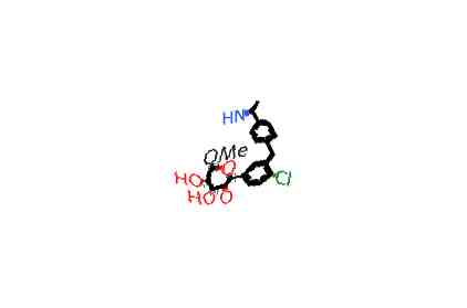 CO[C@H]1O[C@@H](c2ccc(Cl)c(Cc3ccc(C(C)=N)cc3)c2)C(=O)[C@@H](O)[C@@H]1O